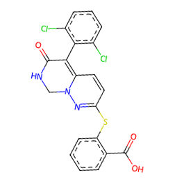 O=C1NCN2N=C(Sc3ccccc3C(=O)O)C=CC2=C1c1c(Cl)cccc1Cl